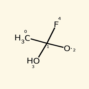 CC([O])(O)F